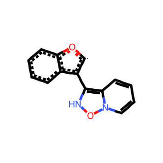 [c]1oc2ccccc2c1C1=C2C=CC=CN2ON1